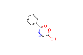 O=C(O)/C=N\C(=O)c1ccccc1